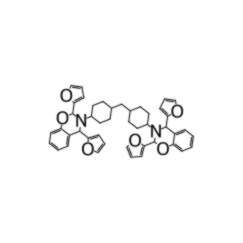 c1coc(C2Oc3ccccc3C(c3ccco3)N2C2CCC(CC3CCC(N4C(c5ccco5)Oc5ccccc5C4c4ccco4)CC3)CC2)c1